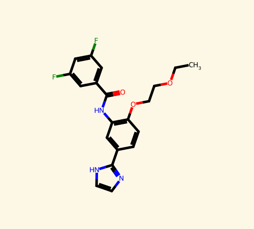 CCOCCOc1ccc(-c2ncc[nH]2)cc1NC(=O)c1cc(F)cc(F)c1